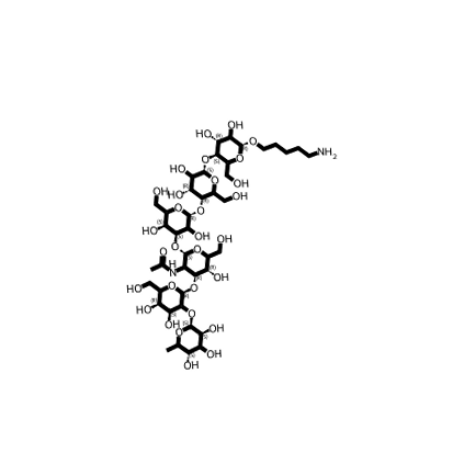 CC(=O)NC1[C@H](O[C@@H]2C(O)[C@@H](O[C@H]3C(CO)O[C@@H](O[C@@H]4C(CO)O[C@@H](OCCCCCN)C(O)[C@H]4O)C(O)[C@H]3O)OC(CO)[C@@H]2O)OC(CO)[C@H](O)[C@@H]1O[C@@H]1OC(CO)[C@H](O)[C@H](O)C1O[C@@H]1OC(C)[C@@H](O)C(O)[C@@H]1O